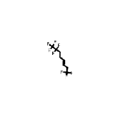 FC(F)(F)C/C=C/CCC(F)(F)C(F)(F)F